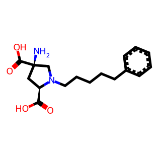 N[C@]1(C(=O)O)C[C@H](C(=O)O)N(CCCCCc2ccccc2)C1